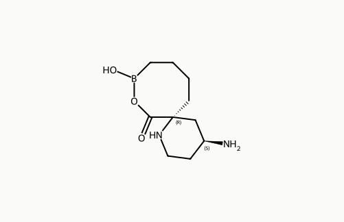 N[C@H]1CCN[C@]2(CCCCB(O)OC2=O)C1